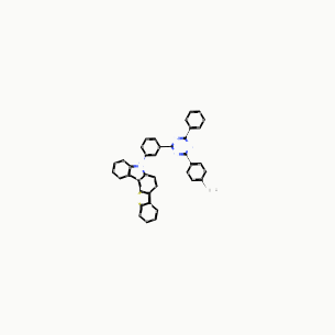 CCCCc1ccc(-c2nc(-c3ccccc3)nc(-c3cccc(-n4c5ccccc5c5c6sc7ccccc7c6ccc54)c3)n2)cc1